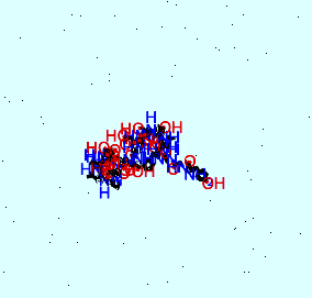 CC(C)C[C@H](NC(=O)[C@H](Cc1ccccc1)NC(=O)CNC(=O)CNC(=O)[C@@H](N)Cc1ccc(O)cc1)C(=O)N[C@H](C(=O)N[C@@H](CO)C(=O)N[C@@H](CCC(=O)O)C(=O)N[C@@H](CCCCN)C(=O)N[C@@H](CO)C(=O)N[C@@H](CCC(N)=O)C(=O)N[C@H](C(=O)N1CCC[C@H]1C(=O)N[C@@H](CC(C)C)C(=O)N[C@H](C(=O)N[C@H](C(=O)O)[C@@H](C)O)C(C)C)[C@@H](C)O)[C@@H](C)O